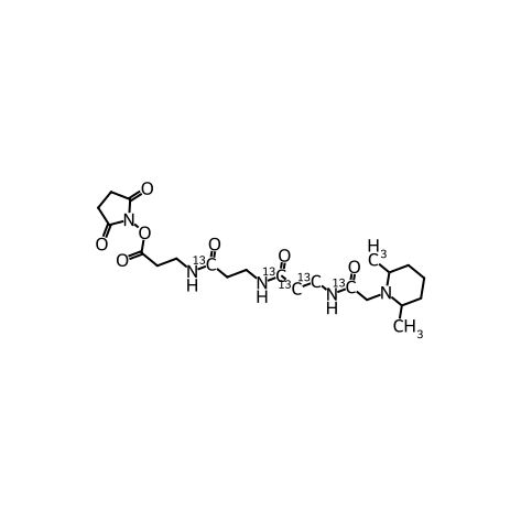 CC1CCCC(C)N1C[13C](=O)N[13CH2][13CH2][13C](=O)NCC[13C](=O)NCCC(=O)ON1C(=O)CCC1=O